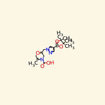 C[C@@H]1CO[C@@H](Cn2cc(B3OC(C)(C)C(C)(C)O3)cn2)CN1C(=O)O